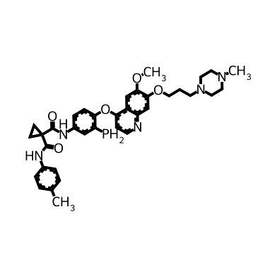 COc1cc2c(Oc3ccc(NC(=O)C4(C(=O)Nc5ccc(C)cc5)CC4)cc3P)ccnc2cc1OCCCN1CCN(C)CC1